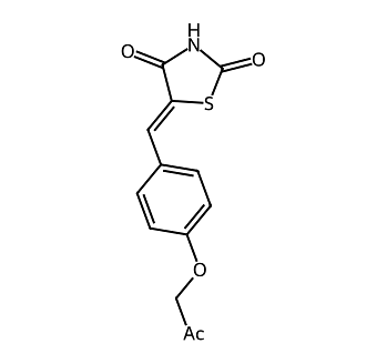 CC(=O)COc1ccc(/C=C2\SC(=O)NC2=O)cc1